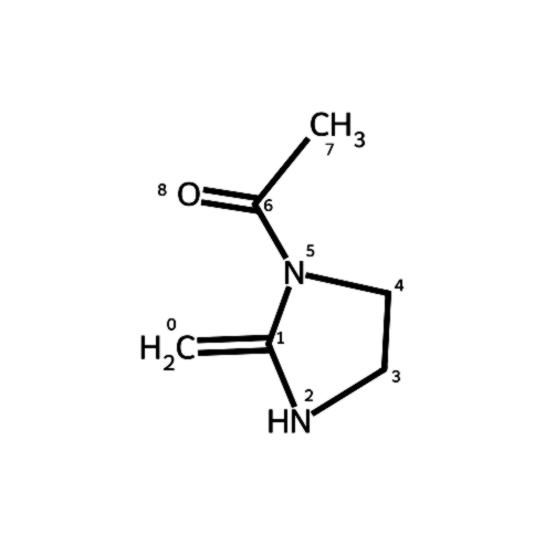 C=C1NCCN1C(C)=O